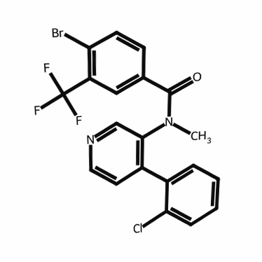 CN(C(=O)c1ccc(Br)c(C(F)(F)F)c1)c1cnccc1-c1ccccc1Cl